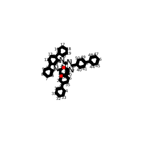 C1=CCC(n2c3ccccc3c3ccc4c5ccccc5n(-c5nc(-c6ccc(-c7ccccc7)cc6)nc(-c6ccc(-c7ccccc7)cc6)n5)c4c32)C=C1